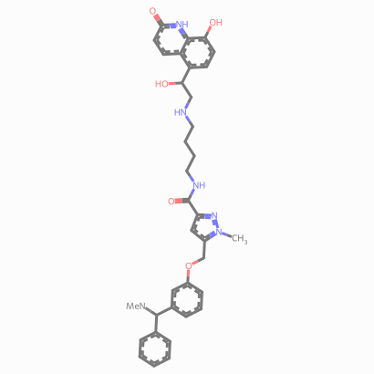 CNC(c1ccccc1)c1cccc(OCc2cc(C(=O)NCCCCNCC(O)c3ccc(O)c4[nH]c(=O)ccc34)nn2C)c1